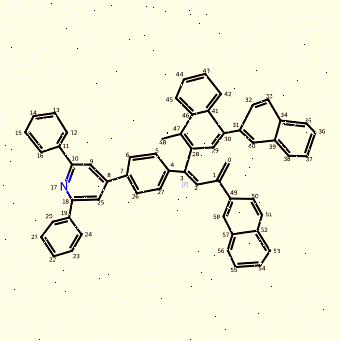 C=C(/C=C(/c1ccc(-c2cc(-c3ccccc3)nc(-c3ccccc3)c2)cc1)c1cc(-c2ccc3ccccc3c2)c2ccccc2c1C)c1ccc2ccccc2c1